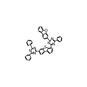 c1ccc(-c2nc(-c3ccccc3)nc(-c3ccc4c(c3)sc3c(-c5nc(-c6ccccc6)nc(-c6ccc7c(c6)oc6ccccc67)n5)cccc34)n2)cc1